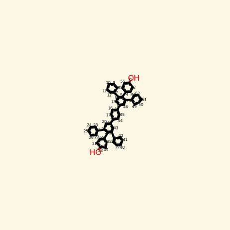 Oc1ccc(-c2c(-c3ccccc3)cc(-c3ccc(-c4cc(-c5ccccc5)c(-c5ccc(O)cc5)c(-c5ccccc5)c4)cc3)cc2-c2ccccc2)cc1